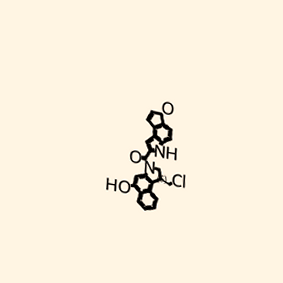 O=C1C=Cc2c1ccc1[nH]c(C(=O)N3C[C@@H](CCl)c4c3cc(O)c3ccccc43)cc21